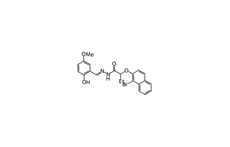 CCC(Oc1ccc2ccccc2c1Br)C(=O)NN=Cc1cc(OC)ccc1O